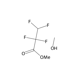 CO.COC(=O)C(F)(F)C(F)F